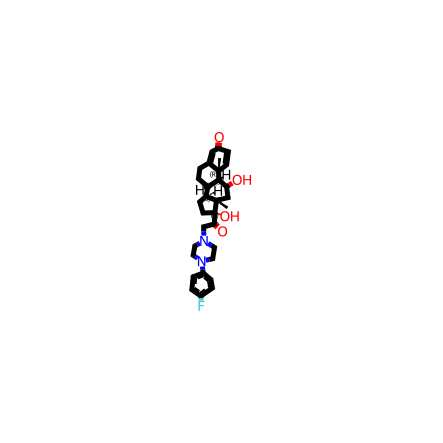 C[C@]12C=CC(=O)C=C1CC[C@@H]1[C@@H]2C(O)C[C@@]2(C)[C@H]1CC[C@]2(O)C(=O)CN1CCN(c2ccc(F)cc2)CC1